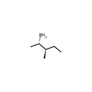 B[C@@H](C)[C@H](C)CC